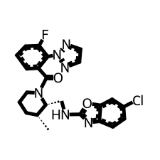 C[C@@H]1CCCN(C(=O)c2cccc(F)c2-n2nccn2)[C@@H]1CNc1nc2ccc(Cl)cc2o1